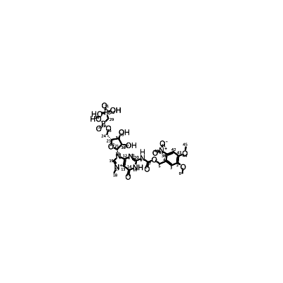 COc1cc(COC(=O)Nc2nc3c(c(=O)[nH]2)[n+](C)cn3[C@@H]2O[C@H](COP(=O)(O)CP(=O)(O)O)[C@@H](O)[C@H]2O)c([N+](=O)[O-])cc1OC